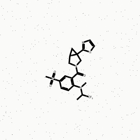 CC(N(C)c1ccc(S(C)(=O)=O)cc1C(=O)N1CC2CC2(c2ncco2)C1)C(F)(F)F